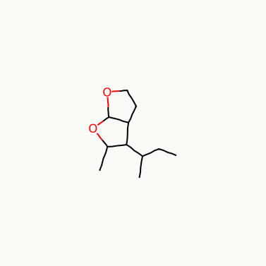 CCC(C)C1C(C)OC2OCCC21